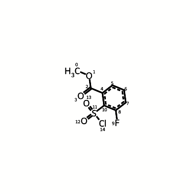 COC(=O)c1cccc(F)c1S(=O)(=O)Cl